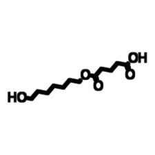 O=C(O)CCCC(=O)OCCCCCCCO